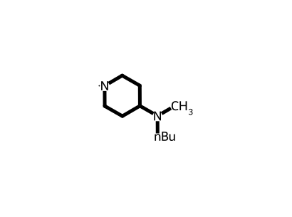 CCCCN(C)C1CC[N]CC1